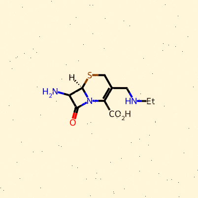 CCNCC1=C(C(=O)O)N2C(=O)C(N)[C@H]2SC1